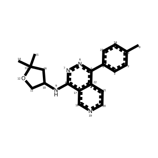 Cc1ccc(-c2nnc(NC3COC(C)(C)C3)c3cnccc23)cc1